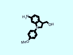 COc1ccc(N2CC(CO)c3ccc(N)cc32)cc1